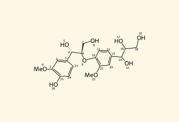 COc1cc([C@H](O)[C@@H](CO)Oc2ccc(C(O)C(O)CO)cc2OC)ccc1O